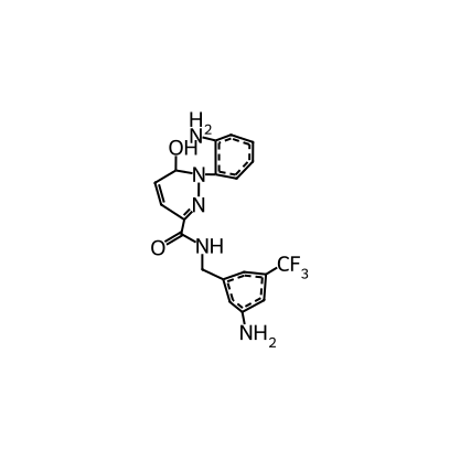 Nc1cc(CNC(=O)C2=NN(c3ccccc3N)C(O)C=C2)cc(C(F)(F)F)c1